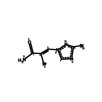 NC(=O)/C(Br)=C/n1cnc(Br)n1